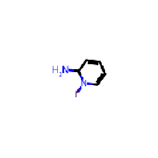 NC1C=CC=CN1I